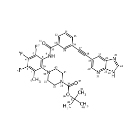 Cc1c(F)c(F)c(F)c(NC(=O)c2cccc(C#Cc3cnc4[nH]cnc4c3)c2)c1N1CCN(C(=O)OC(C)(C)C)CC1